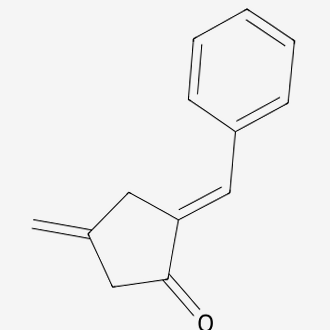 C=C1CC(=O)/C(=C/c2ccccc2)C1